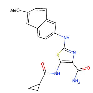 COc1ccc2cc(Nc3nc(C(N)=O)c(NC(=O)C4CC4)s3)ccc2c1